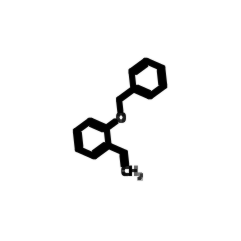 C=Cc1ccccc1OCc1ccccc1